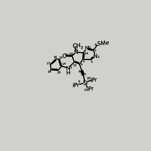 CSc1ncc2c(C#C[Si](C(C)C)(C(C)C)C(C)C)c(Nc3ccccc3)c(=O)n(C)c2n1